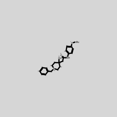 CCCCOc1ccc(NC(=O)CC2(O)CCN(Cc3ccccc3)CC2)cc1